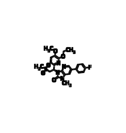 CCOc1nc(C(CS(C)(=O)=O)n2c(=O)n(C)c3cc(-c4ccc(F)cc4)cnc32)ccc1OC